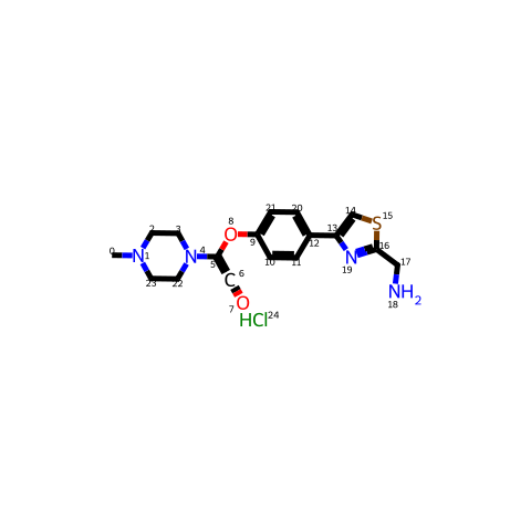 CN1CCN(C(=C=O)Oc2ccc(-c3csc(CN)n3)cc2)CC1.Cl